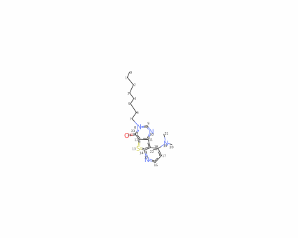 CCCCCCCCn1cnc2c(sc3nccc(N(C)C)c32)c1=O